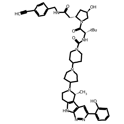 C#Cc1ccc(CNC(=O)C[C@@H]2C[C@@H](O)CN2C(=O)[C@@H](NC(=O)N2CCC(N3CCC(N4CCc5[nH]c6nnc(-c7ccccc7O)cc6c5[C@H]4C)CC3)CC2)C(C)(C)C)cc1